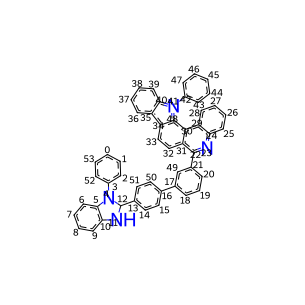 c1ccc(N2c3ccccc3NC2c2ccc(-c3cccc(-c4nc5ccccc5c5c4ccc4c6ccccc6n(-c6ccccc6)c45)c3)cc2)cc1